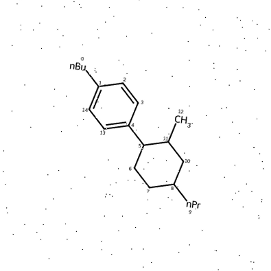 CCCCc1ccc(C2CCC(CCC)CC2C)cc1